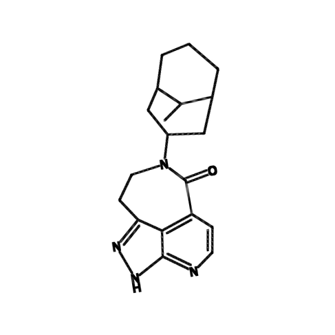 CC1C2CCCC1CC(N1CCc3n[nH]c4nccc(c34)C1=O)C2